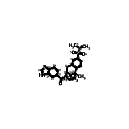 CN(C)S(=O)(=O)c1ccc2c(c1)CC1N(C(=O)c3ccc4nc[nH]c4c3)CC[C@]2(C)C1(C)C